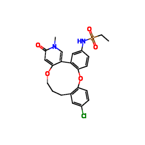 CCS(=O)(=O)Nc1ccc2c(c1)-c1cn(C)c(=O)cc1OCCCc1cc(Cl)ccc1O2